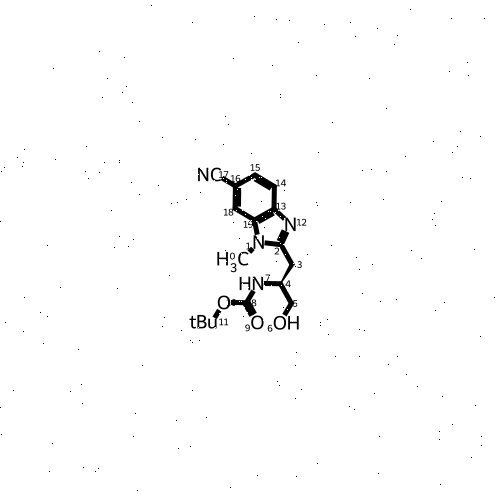 Cn1c(C[C@@H](CO)NC(=O)OC(C)(C)C)nc2ccc(C#N)cc21